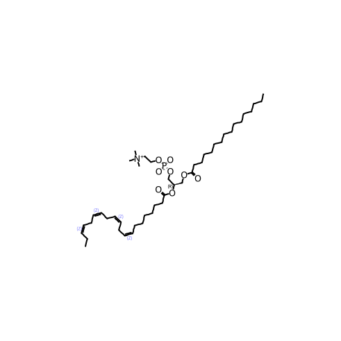 CC/C=C\C/C=C\C/C=C\C/C=C\CCCCCCC(=O)O[C@H](COC(=O)CCCCCCCCCCCCCCC)COP(=O)([O-])OCC[N+](C)(C)C